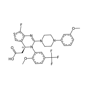 COc1cccc(N2CCN(C3=Nc4c(csc4F)[C@H](CC(=O)O)N3c3cc(C(F)(F)F)ccc3OC)CC2)c1